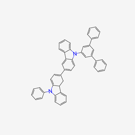 C1=C(c2ccc3c(c2)c2ccccc2n3-c2cc(-c3ccccc3)cc(-c3ccccc3)c2)CC2C(=C1)N(c1ccccc1)c1ccccc12